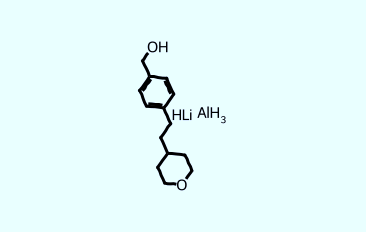 OCc1ccc(CCC2CCOCC2)cc1.[AlH3].[LiH]